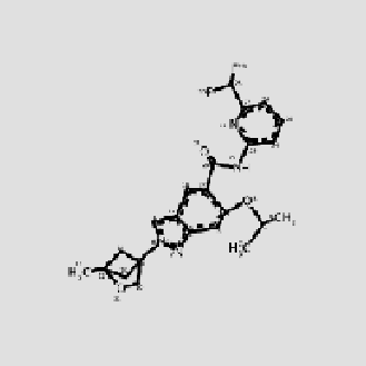 CC(C)Oc1cc2nn(C34COC(C)(C3)C4)cc2cc1C(=O)Nc1cccc(C(F)F)n1